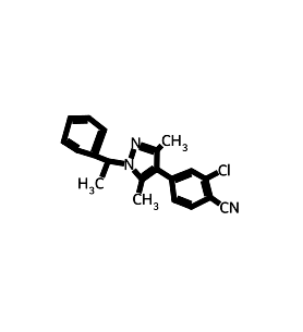 Cc1nn(C(C)c2ccccc2)c(C)c1-c1ccc(C#N)c(Cl)c1